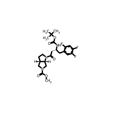 COC(=O)N1C[C@@H]2CCN(C(=O)C[C@@H](Cc3cc(F)c(F)cc3F)NC(=O)OC(C)(C)C)[C@@H]2C1